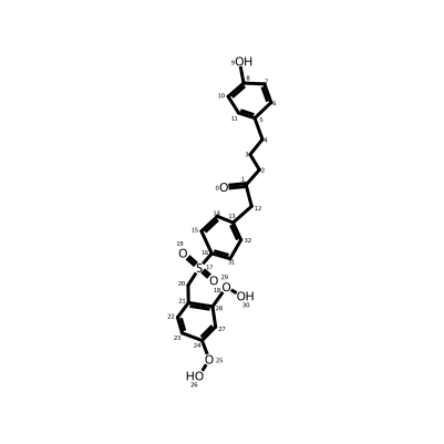 O=C(CCCc1ccc(O)cc1)Cc1ccc(S(=O)(=O)Cc2ccc(OO)cc2OO)cc1